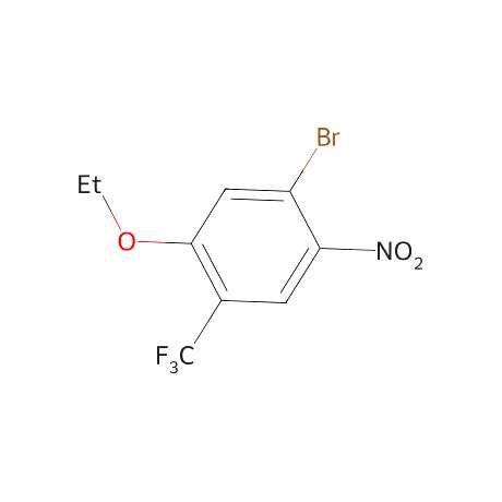 CCOc1cc(Br)c([N+](=O)[O-])cc1C(F)(F)F